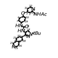 CC(=O)Nc1cc(Oc2ccc(NC(=O)Nc3cn(C(C)(C)C)nc3-c3ccc4cnccc4c3)cc2)ccn1